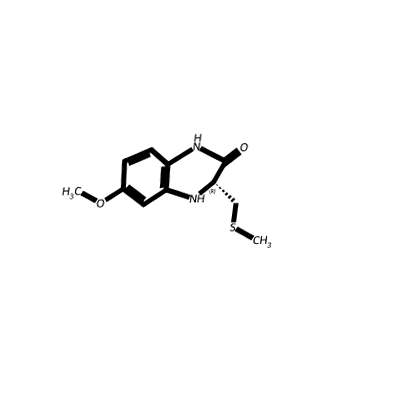 COc1ccc2c(c1)N[C@@H](CSC)C(=O)N2